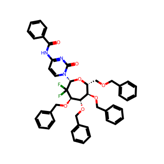 O=C(Nc1ccn([C@@H]2O[C@H](COCc3ccccc3)[C@@H](OCc3ccccc3)[C@H](OCc3ccccc3)[C@@H](OCc3ccccc3)C2(F)F)c(=O)n1)c1ccccc1